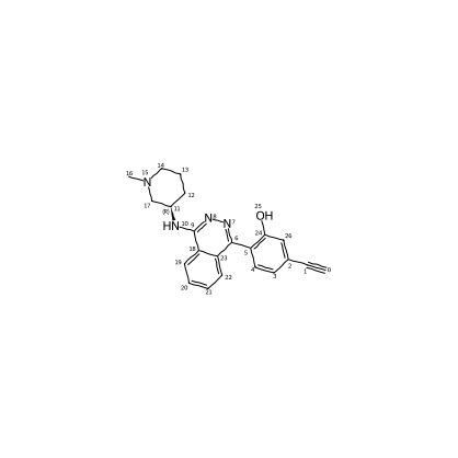 C#Cc1ccc(-c2nnc(N[C@@H]3CCCN(C)C3)c3ccccc23)c(O)c1